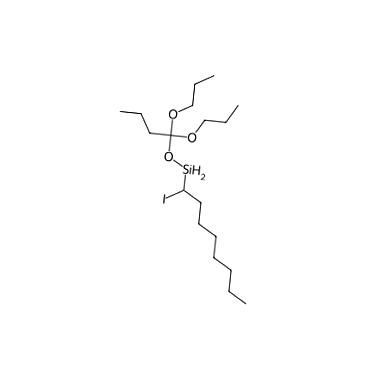 CCCCCCCC(I)[SiH2]OC(CCC)(OCCC)OCCC